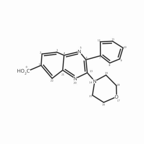 O=C(O)c1ccc2nc(-c3ccccc3)c(N3CCOCC3)nc2c1